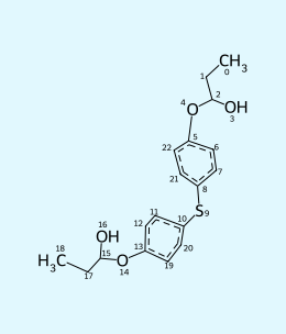 CCC(O)Oc1ccc(Sc2ccc(OC(O)CC)cc2)cc1